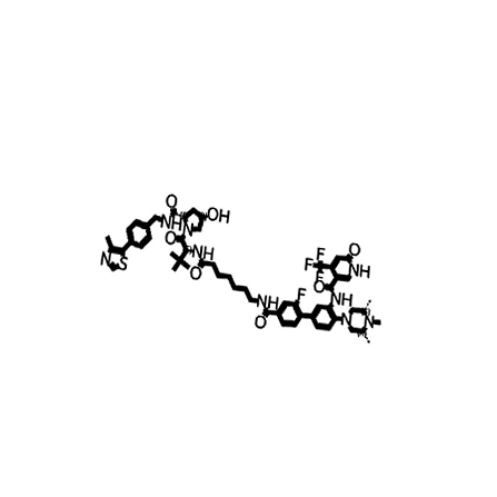 Cc1ncsc1-c1ccc(CNC(=O)[C@@H]2C[C@@H](O)CN2C(=O)[C@@H](NC(=O)CCCCCCNC(=O)c2ccc(-c3ccc(N4C[C@@H](C)N(C)[C@@H](C)C4)c(NC(=O)c4c[nH]c(=O)cc4C(F)(F)F)c3)c(F)c2)C(C)(C)C)cc1